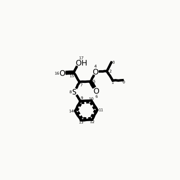 CCC(C)OC(=O)C(Sc1ccccc1)C(=O)O